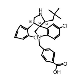 CC(C)(C)C[C@@H]1NC[C@H](c2ccccc2Cl)[C@]12CN(Cc1ccc(C(=O)O)cc1)c1ccc(Cl)cc12